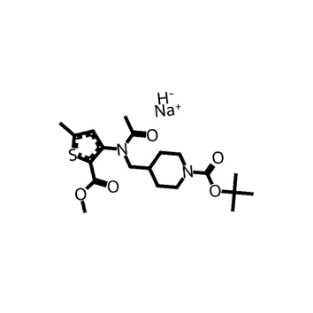 COC(=O)c1sc(C)cc1N(CC1CCN(C(=O)OC(C)(C)C)CC1)C(C)=O.[H-].[Na+]